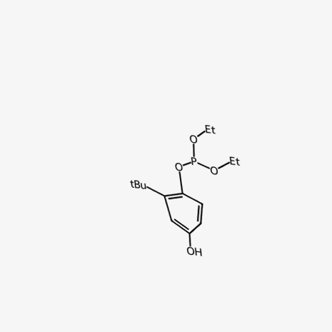 CCOP(OCC)Oc1ccc(O)cc1C(C)(C)C